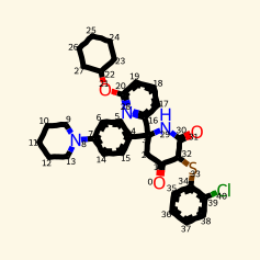 O=C1CC(c2ccc(N3CCCCC3)cc2)(c2cccc(OC3CCCCC3)n2)NC(=O)C1Sc1ccccc1Cl